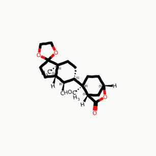 C[C@]1([C@H]2CC[C@@]3(C)[C@@H](CCC34OCCO4)[C@@H]2C=O)CC[C@H]2C[C@@H]1C(=O)O2